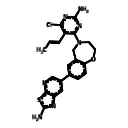 C/C=C/c1c(Cl)nc(N)nc1N1CCOc2ccc(-c3cnc4sc(N)nc4c3)cc2C1